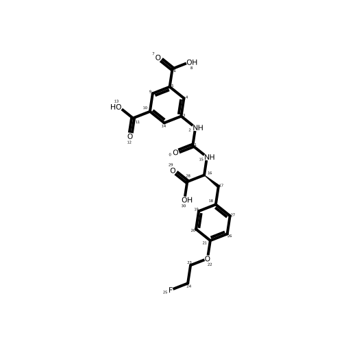 O=C(Nc1cc(C(=O)O)cc(C(=O)O)c1)N[C@@H](Cc1ccc(OCCF)cc1)C(=O)O